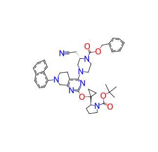 CC(C)(C)OC(=O)N1CCC[C@H]1C1(Oc2nc3c(c(N4CCN(C(=O)OCc5ccccc5)[C@@H](CC#N)C4)n2)CCN(c2cccc4ccccc24)C3)CC1